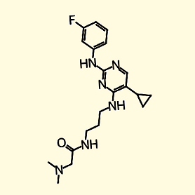 CN(C)CC(=O)NCCCNc1nc(Nc2cccc(F)c2)ncc1C1CC1